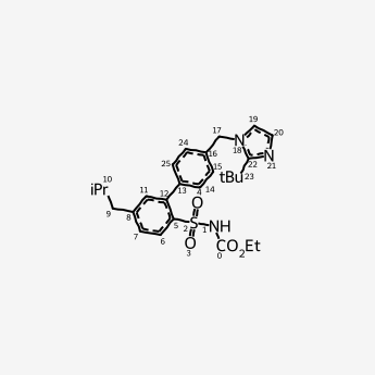 CCOC(=O)NS(=O)(=O)c1ccc(CC(C)C)cc1-c1ccc(Cn2ccnc2C(C)(C)C)cc1